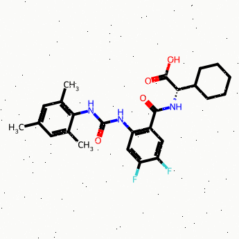 Cc1cc(C)c(NC(=O)Nc2cc(F)c(F)cc2C(=O)N[C@H](C(=O)O)C2CCCCC2)c(C)c1